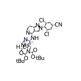 C=C(/C=C(\N=C/N)Nc1nccc2nn(-c3c(Cl)cc(C#N)cc3Cl)cc12)N(C(=O)OC(C)(C)C)C(=O)OC(C)(C)C